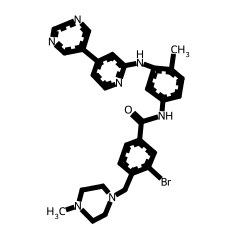 Cc1ccc(NC(=O)c2ccc(CN3CCN(C)CC3)c(Br)c2)cc1Nc1cc(-c2cncnc2)ccn1